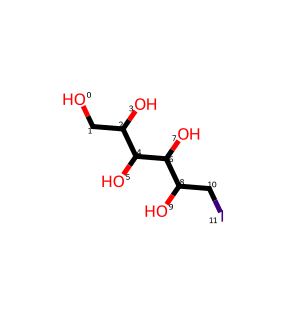 OCC(O)C(O)C(O)C(O)CI